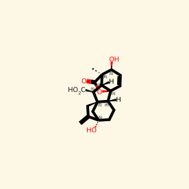 C=C1C[C@]23C[C@@]1(O)CC[C@H]2[C@]12C=C[C@H](O)[C@](C)(C(=O)O1)[C@H]2[C@@H]3C(=O)O